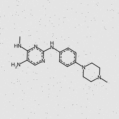 CNc1nc(Nc2ccc(N3CCN(C)CC3)cc2)ncc1N